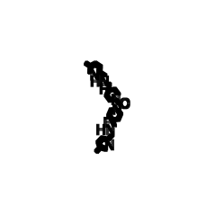 Cc1ccc(CNCC2(F)CCN(C(=O)N3CCC(F)(CNCc4ccc(C)cn4)CC3)CC2)nc1